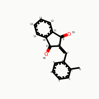 Cc1ccccc1C=C1C(=O)c2ccccc2C1=O